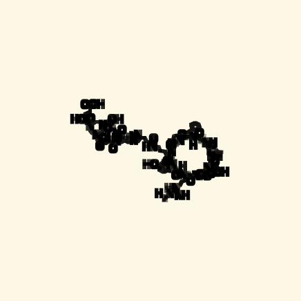 CC(C)C[C@@H]1NC(=O)[C@H](CC(=O)O)NC(=O)CNC(=O)[C@H](CCCNC(=N)N)NC(=O)[C@H](Cc2ccc(O)cc2)NC(=O)[C@H](CCCCNC(=O)CCc2cn(CCCNC(=O)CCP(=O)(O)CN3CCN(CP(=O)(O)CCC(=O)O)CCN(CP(=O)(O)CCC(=O)O)CC3)nn2)N(C)C(=O)[C@H]2CCCN2C(=O)[C@H](Cc2ccccc2)NC(=O)[C@H](C)NC1=O